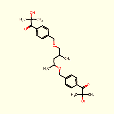 CC(COCc1ccc(C(=O)C(C)(C)O)cc1)CC(C)OCc1ccc(C(=O)C(C)(C)O)cc1